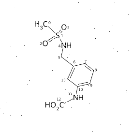 CS(=O)(=O)NCc1cccc(NC(=O)O)c1